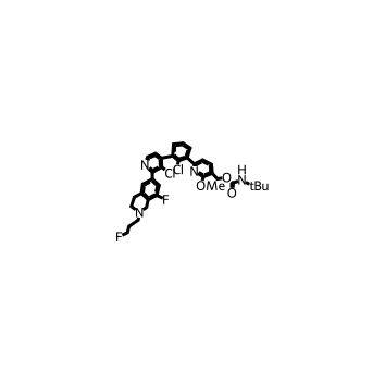 COc1nc(-c2cccc(-c3ccnc(-c4cc(F)c5c(c4)CCN(CCCF)C5)c3Cl)c2Cl)ccc1COC(=O)NC(C)(C)C